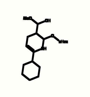 CCCCCCOC1NC(C2CCCCC2)=CCC1C(O)OC